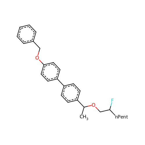 CCCCCC(F)COC(C)c1ccc(-c2ccc(OCc3ccccc3)cc2)cc1